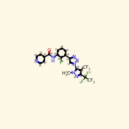 Cn1nc(C(F)(F)C(F)(F)F)c(C(F)(F)F)c1-n1cc(-c2cccc(NC(=O)c3ccncc3)c2F)nn1